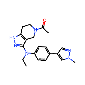 CCN(c1ccc(-c2cnn(C)c2)cc1)c1n[nH]c2c1CN(C(C)=O)CC2